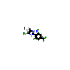 Fc1cc(C(F)F)cc(F)c1-c1nc(Br)c(C(F)(F)F)[nH]1